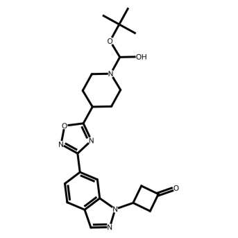 CC(C)(C)OC(O)N1CCC(c2nc(-c3ccc4cnn(C5CC(=O)C5)c4c3)no2)CC1